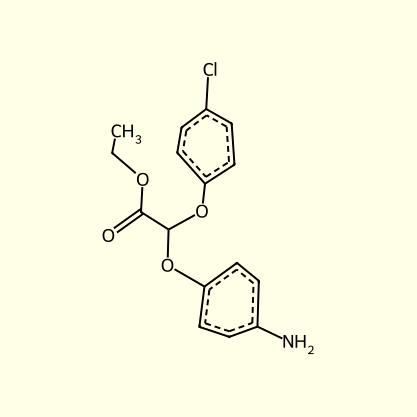 CCOC(=O)C(Oc1ccc(N)cc1)Oc1ccc(Cl)cc1